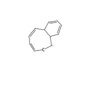 [C]1C/C=C\C=C/C2C=CC=CC12